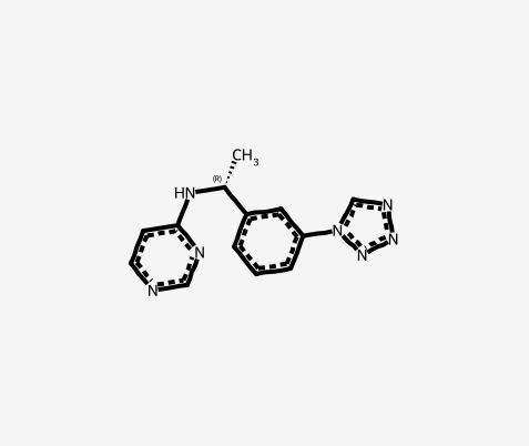 C[C@@H](Nc1ccncn1)c1cccc(-n2cnnn2)c1